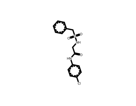 O=C(CNS(=O)(=O)Cc1ccccc1)Nc1ccc(Cl)cc1